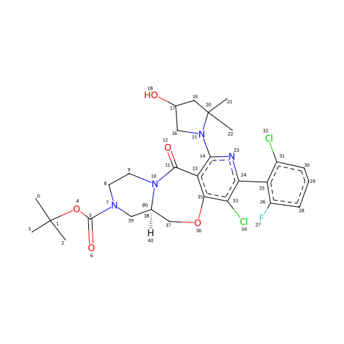 CC(C)(C)OC(=O)N1CCN2C(=O)c3c(N4CC(O)CC4(C)C)nc(-c4c(F)cccc4Cl)c(Cl)c3OC[C@H]2C1